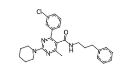 Cc1nc(N2CCCCC2)nc(-c2cccc(Cl)c2)c1C(=O)NCCCc1ccccc1